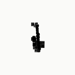 CCCCCCCCCCCCC(=O)C(O)C(O)C(O)C(O)CO.O=C[O-].[Na+]